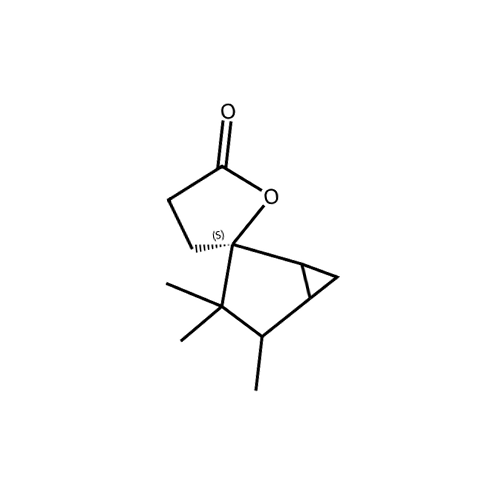 CC1C2CC2[C@@]2(CCC(=O)O2)C1(C)C